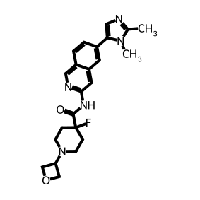 Cc1ncc(-c2ccc3cnc(NC(=O)C4(F)CCN(C5COC5)CC4)cc3c2)n1C